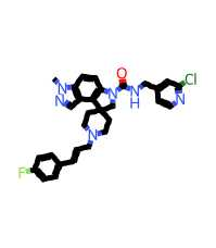 Cn1ncc2c3c(ccc21)N(C(=O)NCc1ccnc(Cl)c1)CC31CCN(CC=Cc2ccc(F)cc2)CC1